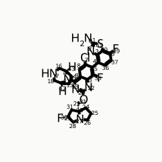 Nc1nc2c(-c3c(Cl)cc4c(N5[C@@H]6CC[C@H]5CNC6)nc(OC[C@]56CCCN5C[C@H](F)C6)nc4c3F)ccc(F)c2s1